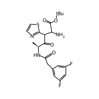 C[C@H](NC(=O)Cc1cc(F)cc(F)c1)C(=O)C(c1nccs1)C(N)C(=O)OC(C)(C)C